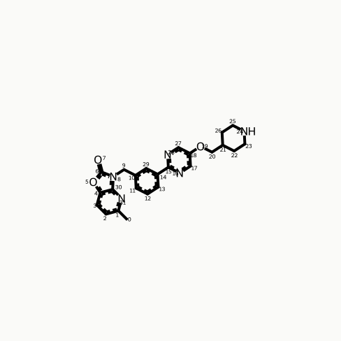 Cc1ccc2oc(=O)n(Cc3cccc(-c4ncc(OCC5CCNCC5)cn4)c3)c2n1